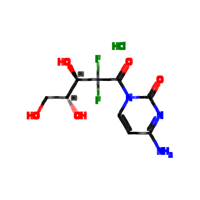 Cl.Nc1ccn(C(=O)C(F)(F)[C@H](O)[C@H](O)CO)c(=O)n1